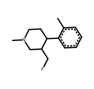 Cc1ccccc1C1CCN(C)CC1CF